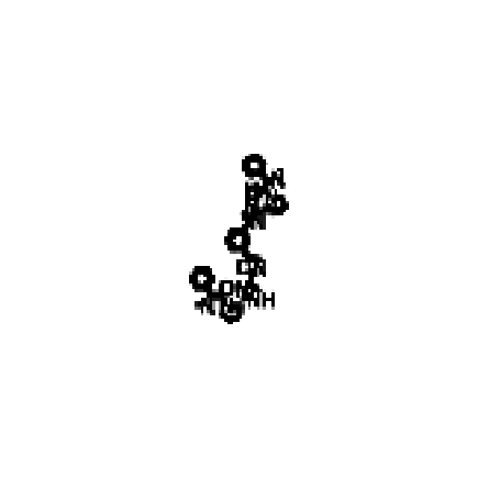 CN(C)[C@@H](C(=O)N1CCC[C@H]1c1nc(-c2cccc(-c3cnc(-c4c[nH]c([C@@H]5CCCN5C(=O)[C@@H](c5ccccc5)N(C)C)n4)o3)c2)c[nH]1)c1ccccc1